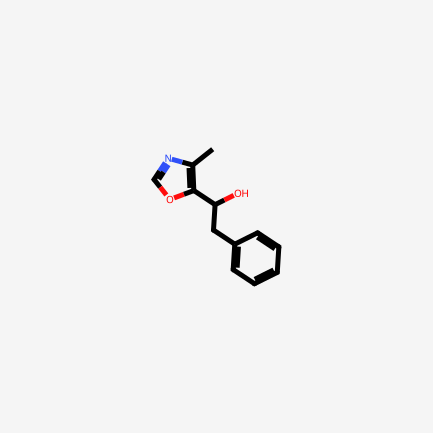 Cc1ncoc1C(O)Cc1ccccc1